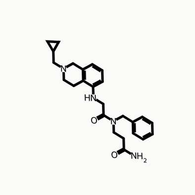 NC(=O)CCN(Cc1ccccc1)C(=O)CNc1cccc2c1CCN(CC1CC1)C2